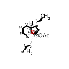 C=CC[C@H]1C[C@@]2(OC(C)=O)C[C@@H](CC=C)[C@H]3CC=CC[C@@]32O1